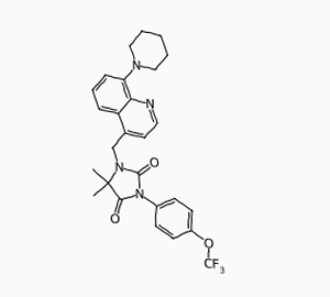 CC1(C)C(=O)N(c2ccc(OC(F)(F)F)cc2)C(=O)N1Cc1ccnc2c(N3CCCCC3)cccc12